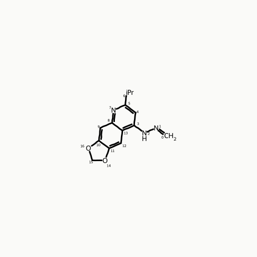 C=NNc1cc(C(C)C)nc2cc3c(cc12)OCO3